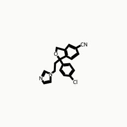 N#Cc1ccc2c(c1)COC2(CCn1ccnc1)c1ccc(Cl)cc1